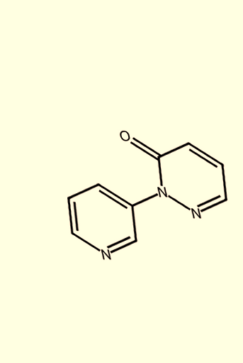 O=c1cccnn1-c1cccnc1